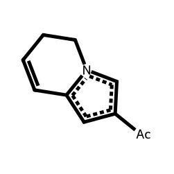 CC(=O)c1cc2n(c1)CCC=C2